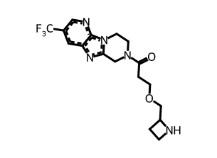 O=C(CCOCC1CCN1)N1CCn2c(nc3cc(C(F)(F)F)cnc32)C1